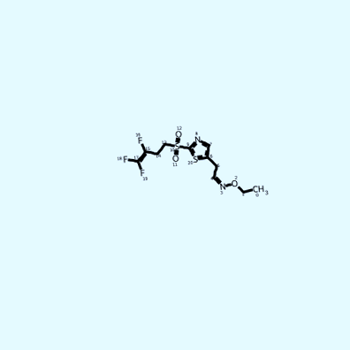 CCO/N=C\Cc1cnc(S(=O)(=O)CCC(F)=C(F)F)s1